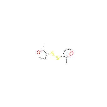 CC1OCCC1SSC1CCOC1C